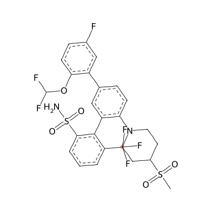 CS(=O)(=O)C1CCN(c2ccc(-c3cc(F)ccc3OC(F)F)cc2-c2c(C(F)(F)F)cccc2S(N)(=O)=O)CC1